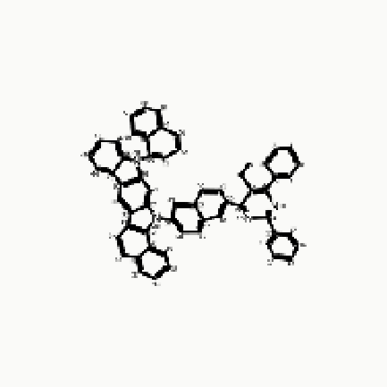 CCc1c(-c2ccccc2)nc(-c2ccccc2)nc1-c1ccc2cc(-n3c4cc5c(cc4c4ccc6ccccc6c43)c3ccccc3n5-c3cccc4ccccc34)ccc2c1